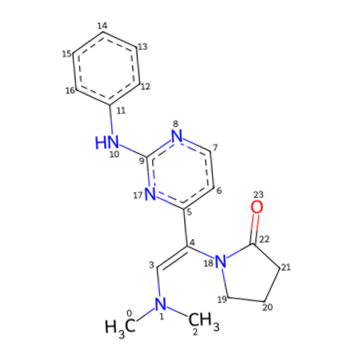 CN(C)C=C(c1ccnc(Nc2ccccc2)n1)N1CCCC1=O